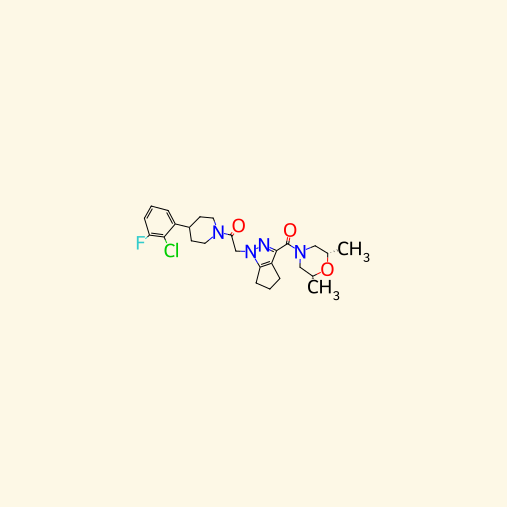 C[C@@H]1CN(C(=O)c2nn(CC(=O)N3CCC(c4cccc(F)c4Cl)CC3)c3c2CCC3)C[C@H](C)O1